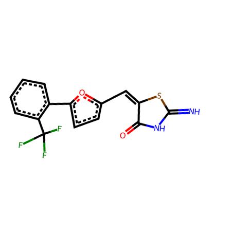 N=C1NC(=O)/C(=C\c2ccc(-c3ccccc3C(F)(F)F)o2)S1